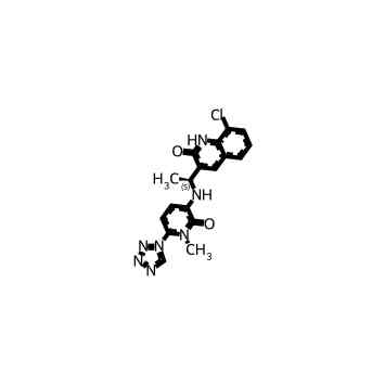 C[C@H](Nc1ccc(-n2cnnn2)n(C)c1=O)c1cc2cccc(Cl)c2[nH]c1=O